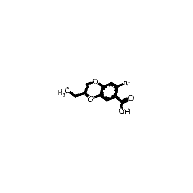 CCC1COc2cc(Br)c(C(=O)O)cc2O1